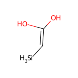 OC(O)=C[SiH3]